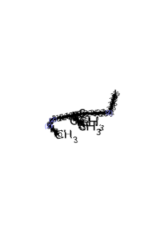 CCCCC/C=C\C/C=C\CCCCCCCCN(CCSCCCCCCCC/C=C\CCCCCCCI)C(=O)CCN(C)C